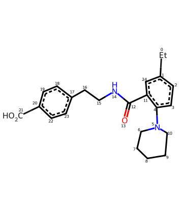 CCc1ccc(N2CCCCC2)c(C(=O)NCCc2ccc(C(=O)O)cc2)c1